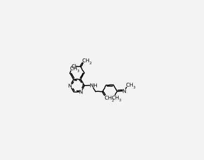 C=C(Cl)/C=c1/c(NCC(=C)/C=C\C(C)=N/C)ncn/c1=C/C